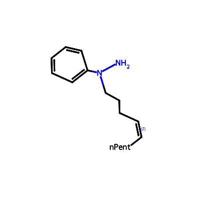 CCCCC/C=C\CCCN(N)c1ccccc1